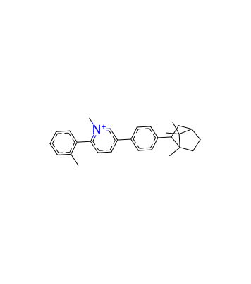 Cc1ccccc1-c1ccc(-c2ccc(C3CC4CCC3(C)C4(C)C)cc2)c[n+]1C